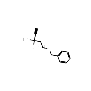 C#CC(N)(CCSCc1ccccc1)C(=O)O